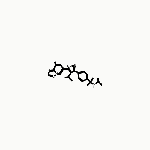 Cc1cc(-c2[nH]nc(-c3ccc(C(C)(C)NC(C)C)cc3)c2C(C)C)cn2ncnc12